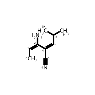 C/C=C(N)\C(C#N)=C/C(C)C